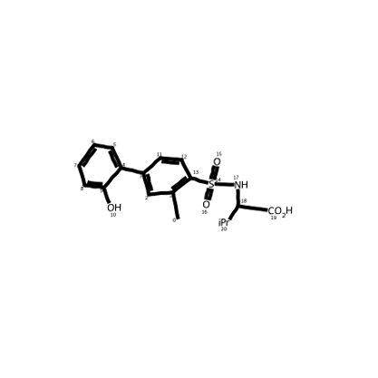 Cc1cc(-c2ccccc2O)ccc1S(=O)(=O)NC(C(=O)O)C(C)C